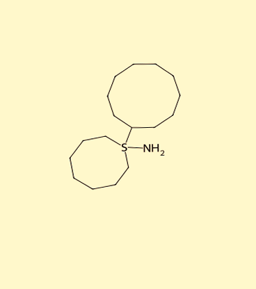 NS1(C2CCCCCCCCC2)CCCCCCC1